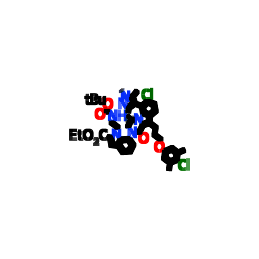 CCOC(=O)c1cc2cccc(N3C[C@@H](C)n4c(c(CCCOc5cc(C)c(Cl)c(C)c5)c5ccc(Cl)c(-c6c(C)nn(C)c6C)c54)C3=O)c2n1CCNC(=O)OC(C)(C)C